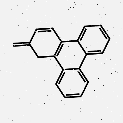 C=C1C=Cc2c(c3ccccc3c3ccccc23)C1